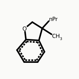 CCCC1(C)COc2ccccc21